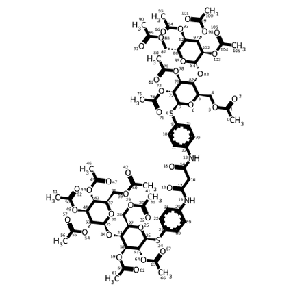 CC(=O)OC[C@H]1O[C@@H](Sc2ccc(NC(=O)CC(=O)Nc3ccc(S[C@@H]4O[C@H](COC(C)=O)[C@@H](O[C@@H]5O[C@H](COC(C)=O)[C@@H](OC(C)=O)[C@H](OC(C)=O)[C@H]5OC(C)=O)[C@H](OC(C)=O)[C@H]4OC(C)=O)cc3)cc2)[C@H](OC(C)=O)[C@@H](OC(C)=O)[C@@H]1O[C@@H]1O[C@H](COC(C)=O)[C@@H](OC(C)=O)[C@H](OC(C)=O)[C@H]1OC(C)=O